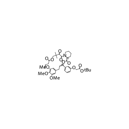 C=CCC(=O)OCC(C)(C)C(=O)C(=O)N1CCCC[C@H]1C(=O)O[C@H](CCc1cc(OC)c(OC)c(OC)c1)c1cccc(OCC(=O)OC(C)(C)C)c1